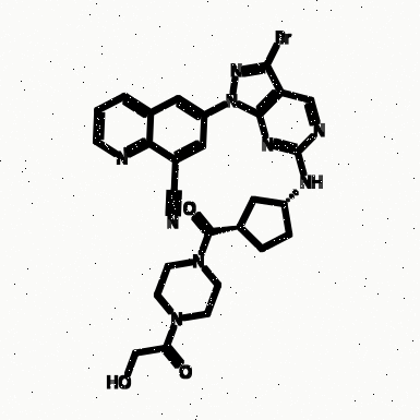 N#Cc1cc(-n2nc(Br)c3cnc(N[C@@H]4CC[C@@H](C(=O)N5CCN(C(=O)CO)CC5)C4)nc32)cc2cccnc12